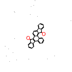 O=c1c2ccccc2c2c3ccccc3c3c(ccc4c5ccccc5c(=O)c43)c12